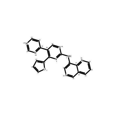 c1coc(-c2nc(Nc3cncc4cccnc34)ncc2-c2ccncn2)c1